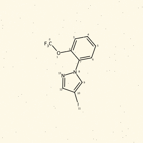 FC(F)(F)Oc1ccccc1-n1cc(I)cn1